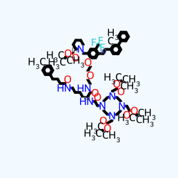 Cc1ccc(CCCC(=O)NCCCC[C@H](NC(=O)CN2CCN(CC(=O)OC(C)(C)C)CCN(CC(=O)OC(C)(C)C)CCN(CC(=O)OC(C)(C)C)CC2)C(=O)NCCOCCOc2cc(/C=C/c3cccc(-c4ccccc4)c3C)c(C(F)(F)F)cc2CN2CCCC[C@H]2C(=O)OC(C)(C)C)cc1